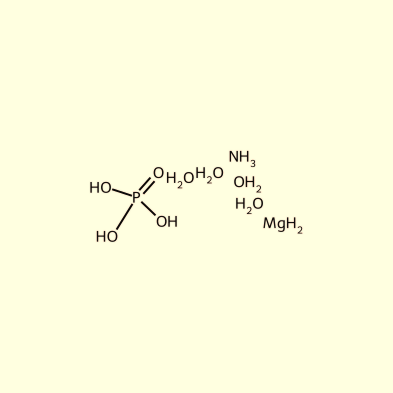 N.O.O.O.O.O=P(O)(O)O.[MgH2]